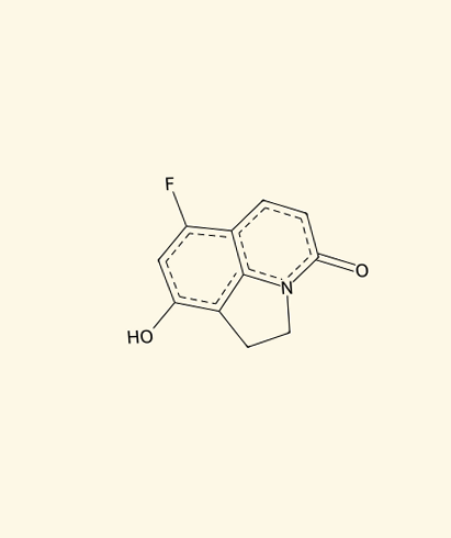 O=c1ccc2c(F)cc(O)c3c2n1CC3